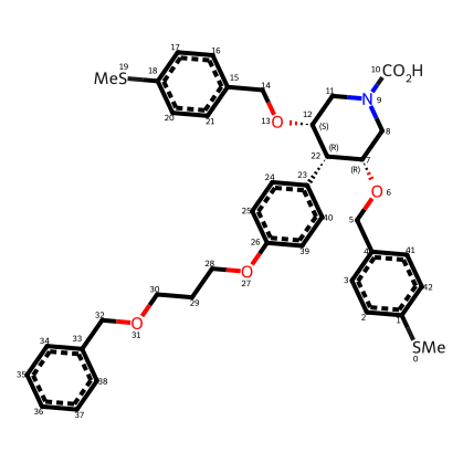 CSc1ccc(CO[C@H]2CN(C(=O)O)C[C@@H](OCc3ccc(SC)cc3)[C@H]2c2ccc(OCCCOCc3ccccc3)cc2)cc1